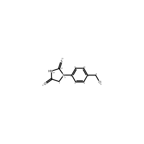 O=C1CN(c2ccc(CCl)cc2)C(=S)N1